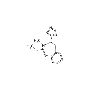 CCC1=Nc2ccccc2CC(c2cncs2)N1C